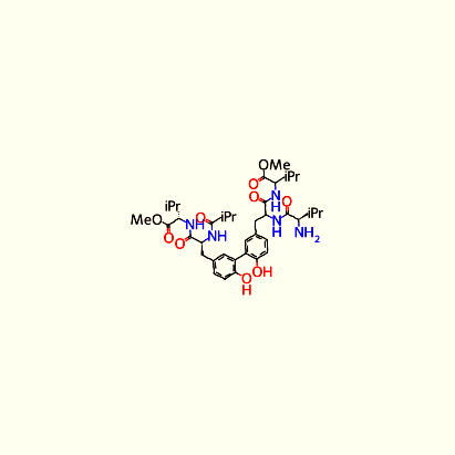 COC(=O)C(NC(=O)C(Cc1ccc(O)c(-c2cc(C[C@H](NC(=O)C(C)C)C(=O)N[C@H](C(=O)OC)C(C)C)ccc2O)c1)NC(=O)[C@H](N)C(C)C)C(C)C